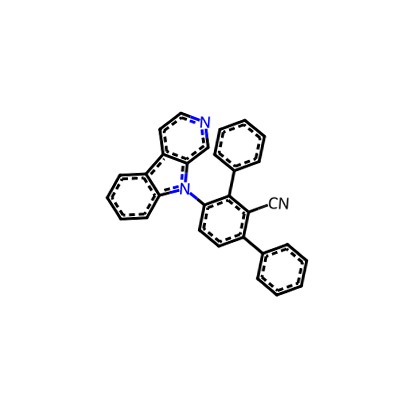 N#Cc1c(-c2ccccc2)ccc(-n2c3ccccc3c3ccncc32)c1-c1ccccc1